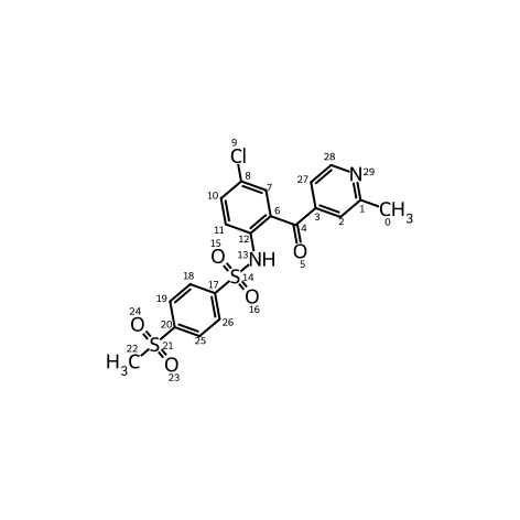 Cc1cc(C(=O)c2cc(Cl)ccc2NS(=O)(=O)c2ccc(S(C)(=O)=O)cc2)ccn1